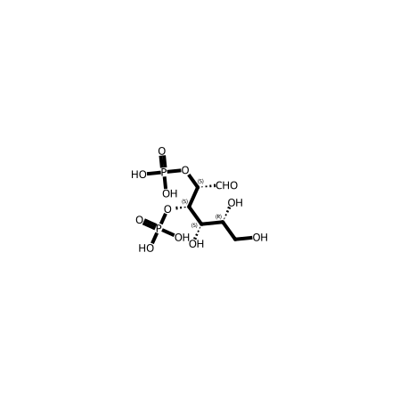 O=C[C@@H](OP(=O)(O)O)[C@@H](OP(=O)(O)O)[C@@H](O)[C@H](O)CO